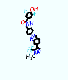 Cn1ncc(-c2ccc3cn(C4CCC(CNC(=O)c5cc(F)c(O)c(F)c5)CC4)nc3c2)c1C(F)(F)F